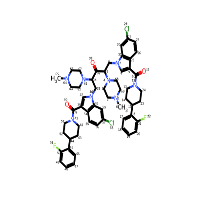 CN1CCN(C(Cn2cc(C(=O)N3CCC(c4ccccc4F)CC3)c3ccc(Cl)cc32)C(=O)C(Cn2cc(C(=O)N3CCC(c4ccccc4F)CC3)c3ccc(Cl)cc32)N2CCN(C)CC2)CC1